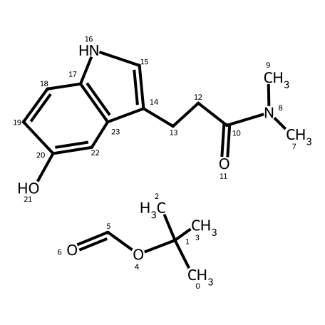 CC(C)(C)OC=O.CN(C)C(=O)CCc1c[nH]c2ccc(O)cc12